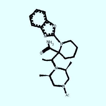 CC(=O)N1C[C@@H](C)N(C(C)C2(C(N)=O)CCCCN2c2nc3ccccc3o2)[C@@H](C)C1